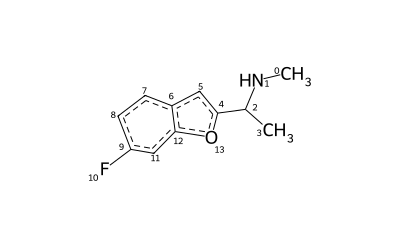 CNC(C)c1cc2ccc(F)cc2o1